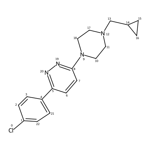 Clc1ccc(-c2ccc(N3CCN(CC4CC4)CC3)nn2)cc1